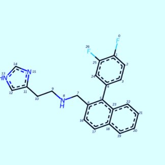 Fc1ccc(-c2c(CNCCc3c[nH]cn3)ccc3ccccc23)cc1F